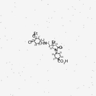 CCOc1cc(CNCCC2(CC)CC(=O)N(c3ccc(C(=O)O)cc3)C2)ccc1Cl